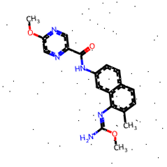 CO/C(N)=N\c1c(C)ccc2ccc(NC(=O)c3cnc(OC)cn3)cc12